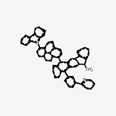 CC1c2ccccc2-c2cc3c(-c4ccc5ccc6c(-n7c8ccccc8c8ccccc87)ccc7ccc4c5c76)c4ccccc4c(-c4cccc(-c5ccccn5)c4)c3cc21